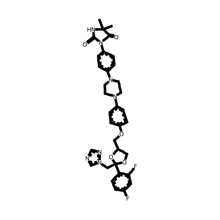 CC1(C)NC(=O)N(c2ccc(N3CCN(c4ccc(OCC5COC(Cn6cncn6)(c6ccc(F)cc6F)O5)cc4)CC3)cc2)C1=O